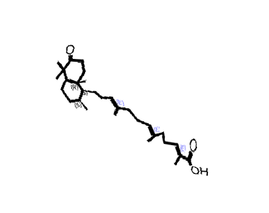 C/C(=C\CC/C(C)=C/CC[C@H]1[C@@H](C)CCC2C(C)(C)C(=O)CC[C@@]21C)CC/C=C(\C)C(=O)O